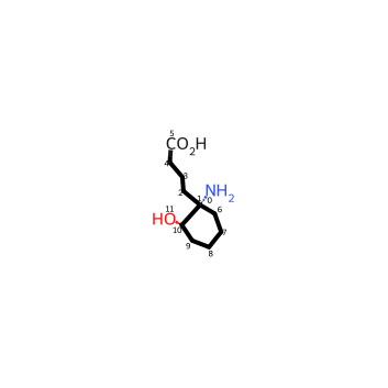 N[C@]1(CCCC(=O)O)CCCC[C@@H]1O